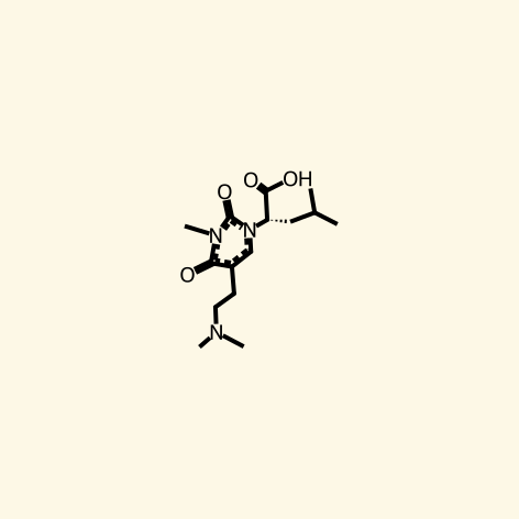 CC(C)C[C@@H](C(=O)O)n1cc(CCN(C)C)c(=O)n(C)c1=O